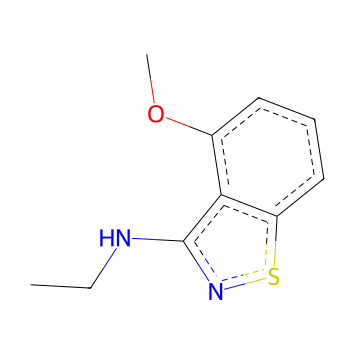 CCNc1nsc2cccc(OC)c12